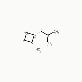 CN(C)C[C@@H]1CCN1.Cl